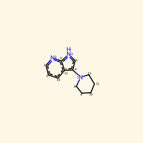 c1cnc2[nH]cc(N3CCCCC3)c2c1